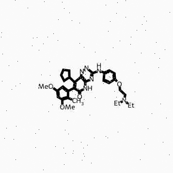 CCN(CC)CCOc1ccc(Nc2nnc3c(C4CCCC4)c(-c4cc(OC)cc(OC)c4C)c(=O)[nH]c3n2)cc1